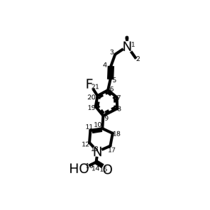 CN(C)CC#Cc1ccc(C2=CCN(C(=O)O)CC2)cc1F